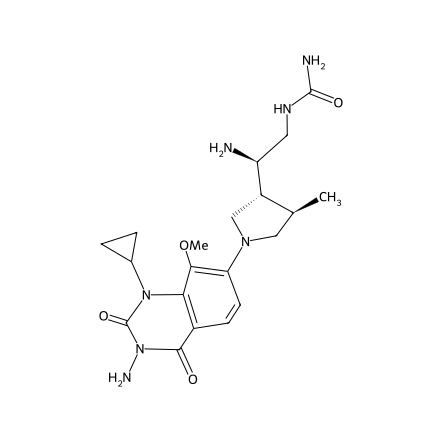 COc1c(N2C[C@H]([C@@H](N)CNC(N)=O)[C@@H](C)C2)ccc2c(=O)n(N)c(=O)n(C3CC3)c12